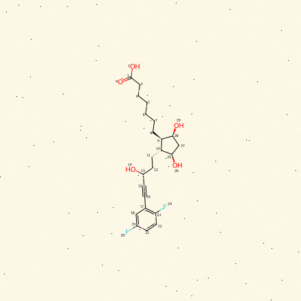 O=C(O)CCCCCC[C@@H]1[C@@H](CCC(O)C#Cc2cc(F)ccc2F)[C@H](O)C[C@@H]1O